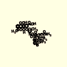 COc1cccc2c1C(=O)c1c(O)c3c(c(O)c1C2=O)CC(C(=O)CO)C[C@@H]3O[C@H]1C/C(=N/C(=O)ONC(=O)[C@H](CCCNC(N)=O)NC(=O)[C@@H](NC(O)N2C(=O)C=CC2=O)C(C)C)CC(C)O1